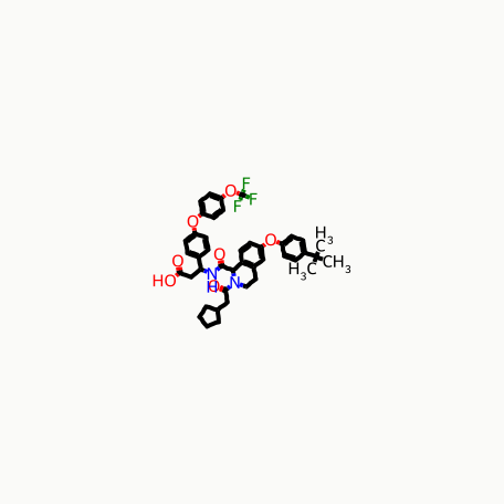 CC(C)(C)c1ccc(Oc2ccc3c(c2)CCN(C(=O)CC2CCCC2)C3C(=O)NC(CC(=O)O)c2ccc(Oc3ccc(OC(F)(F)F)cc3)cc2)cc1